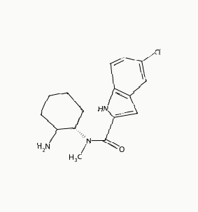 CN(C(=O)c1cc2cc(Cl)ccc2[nH]1)[C@H]1CCCCC1N